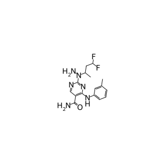 Cc1cccc(Nc2nc(N(N)C(C)CC(F)F)ncc2C(N)=O)c1